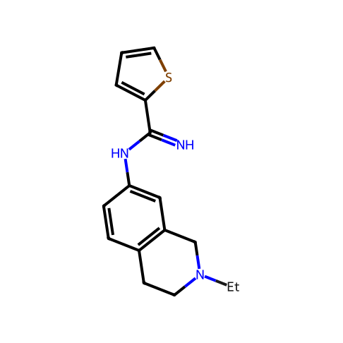 CCN1CCc2ccc(NC(=N)c3cccs3)cc2C1